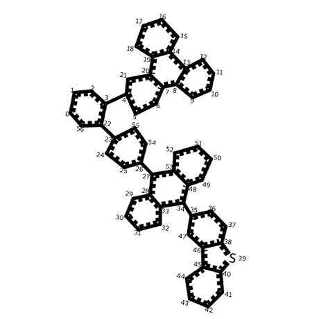 c1ccc(-c2ccc3c4ccccc4c4ccccc4c3c2)c(-c2ccc(-c3c4ccccc4c(-c4ccc5sc6ccccc6c5c4)c4ccccc34)cc2)c1